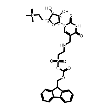 C=P(C)(C)CC[C@H]1O[C@@H](n2cc(CNCCS(=O)(=O)OC(=O)OCC3c4ccccc4-c4ccccc43)c(=O)[nH]c2=S)[C@H](O)[C@@H]1O